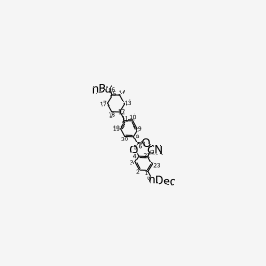 CCCCCCCCCCc1ccc(OC(=O)c2ccc(C3CCC(CCCC)CC3)cc2)c(C#N)c1